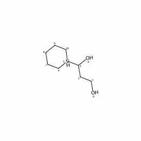 OCCC(O)[SiH]1CCCCC1